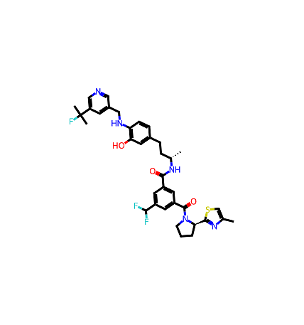 Cc1csc([C@H]2CCCN2C(=O)c2cc(C(=O)N[C@@H](C)CCc3ccc(NCc4cncc(C(C)(C)F)c4)c(O)c3)cc(C(F)F)c2)n1